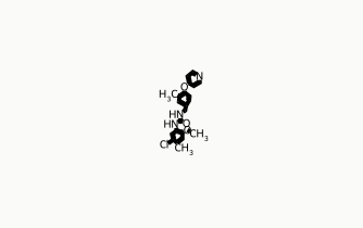 COc1cc(C)c(Cl)cc1NC(=O)NCc1ccc(Oc2ccncc2)c(C)c1